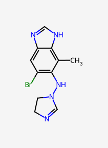 Cc1c(NN2C=NCC2)c(Br)cc2nc[nH]c12